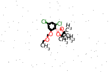 CCOCOc1cc(Cl)cc(Cl)c1B1OC(C)(C)C(C)(C)O1